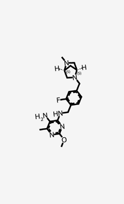 COc1nc(C)c(N)c(NCc2ccc(CN3C[C@@H]4C[C@H]3CN4C)cc2F)n1